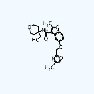 Cc1coc(COc2ccc3oc(C)c(C(=O)NC4(CO)CCOCC4)c3c2)n1